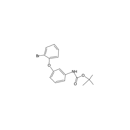 CC(C)(C)OC(=O)Nc1cccc(Oc2ccccc2Br)c1